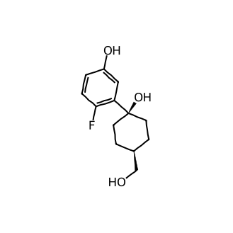 OC[C@H]1CC[C@](O)(c2cc(O)ccc2F)CC1